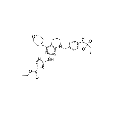 CCOC(=O)c1sc(Nc2nc(N3CCOCC3)c3c(n2)N(Cc2ccc(NS(=O)(=O)CC)cc2)CCC3)nc1C